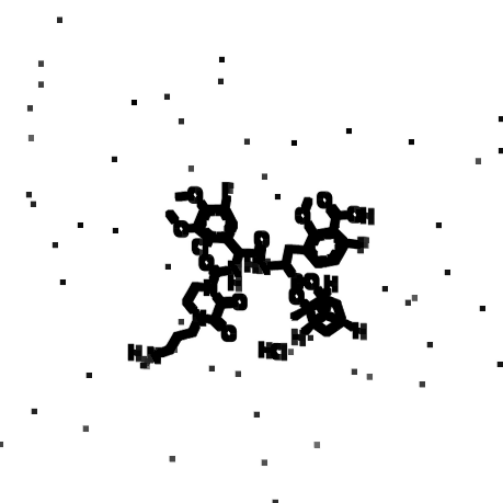 COc1c(F)cc(C(NC(=O)N2CCN(CCCN)C(=O)C2=O)C(=O)NC(Cc2ccc(F)c(C(=O)O)c2OC)B2O[C@@H]3C[C@@H]4C[C@@H](C4(C)C)[C@]3(C)O2)c(Cl)c1OC.Cl